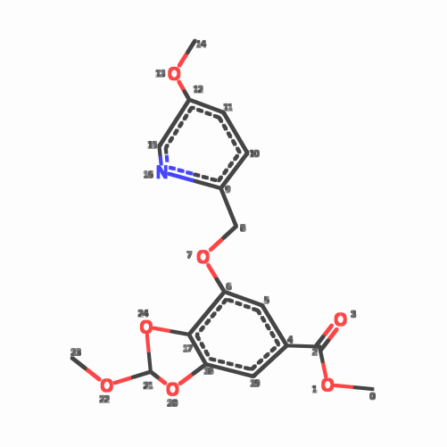 COC(=O)c1cc(OCc2ccc(OC)cn2)c2c(c1)OC(OC)O2